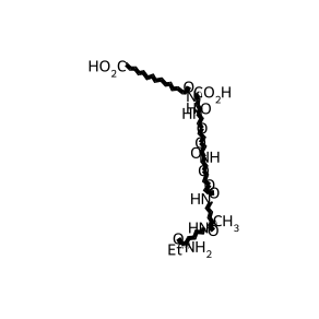 CCC(=O)[C@@H](N)CCCCNC(=O)[C@@H](C)CCCCNC(=O)COCCOCCNC(=O)COCCOCCNC(=O)CC[C@H](NC(=O)CCCCCCCCCCCCCCC(=O)O)C(=O)O